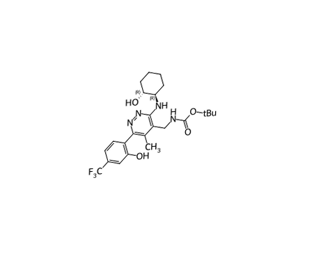 Cc1c(-c2ccc(C(F)(F)F)cc2O)nnc(N[C@@H]2CCCC[C@H]2O)c1CNC(=O)OC(C)(C)C